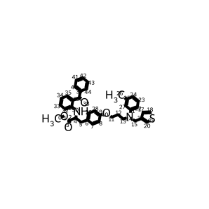 COC(=O)C(Cc1ccc(OCCCN(Cc2ccsc2)c2cccc(C)c2)cc1)Nc1ccccc1C(=O)c1ccccc1